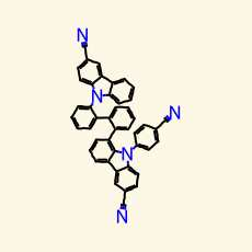 N#Cc1ccc(-n2c3ccc(C#N)cc3c3cccc(-c4ccccc4-c4ccccc4-n4c5ccccc5c5cc(C#N)ccc54)c32)cc1